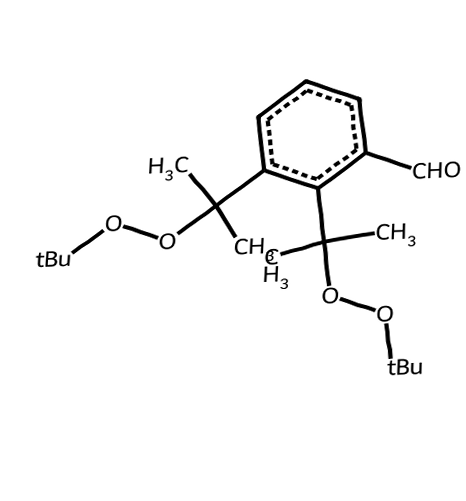 CC(C)(C)OOC(C)(C)c1cccc(C=O)c1C(C)(C)OOC(C)(C)C